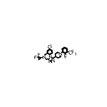 Fc1c(N2CCC(c3nnc4n3-c3ccc(Cl)cc3CN(C3CC3(F)F)C4)CC2)cccc1C(F)(F)F